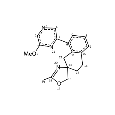 COc1cncc(-c2cccc3c2CC2(CC3)COC(C)=N2)n1